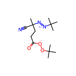 CC(C)(C)/N=N/C(C)(C#N)CCC(=O)OOC(C)(C)C